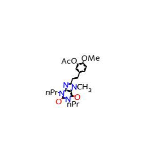 CCCn1c(=O)c2c(nc(C=Cc3ccc(OC)c(OC(C)=O)c3)n2C)n(CCC)c1=O